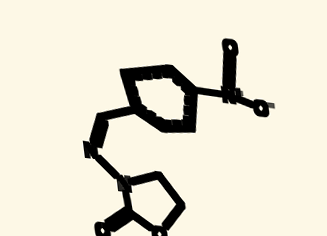 O=C1OCCN1/N=C\c1ccc([N+](=O)[O-])cc1